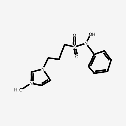 C[n+]1ccn(CCCS(=O)(=O)N(O)c2ccccc2)c1